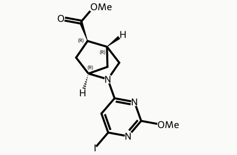 COC(=O)[C@@H]1C[C@H]2C[C@H]1CN2c1cc(I)nc(OC)n1